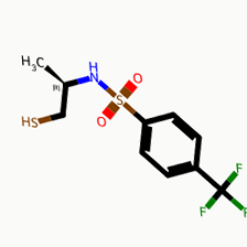 C[C@H](CS)NS(=O)(=O)c1ccc(C(F)(F)F)cc1